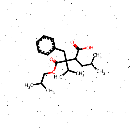 CC(C)COC(=O)C(Cc1ccccc1)(C(C)C)C(CC(C)C)C(=O)O